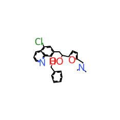 CN(C)Cc1ccc(C(O)Cc2cc(Cl)c3cccnc3c2OCc2ccccc2)o1